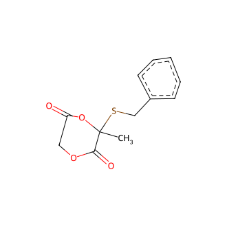 CC1(SCc2ccccc2)OC(=O)COC1=O